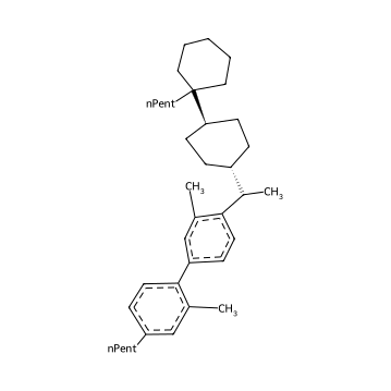 CCCCCc1ccc(-c2ccc(C(C)[C@H]3CC[C@H](C4(CCCCC)CCCCC4)CC3)c(C)c2)c(C)c1